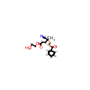 CC(C#N)(CCC(=O)OCCO)SSC(=O)c1ccccc1